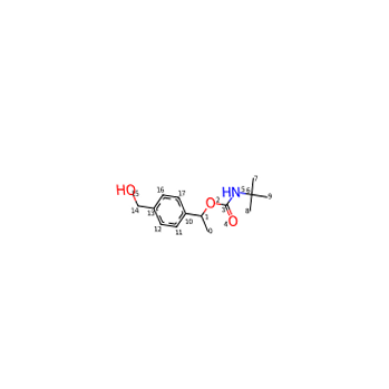 CC(OC(=O)NC(C)(C)C)c1ccc(CO)cc1